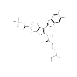 CCC(C)NCCC(=O)Nc1sc2c(c1-c1nc3cc(C)c(C)cc3s1)CCN(C(=O)OC(C)(C)C)C2